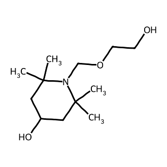 CC1(C)CC(O)CC(C)(C)N1COCCO